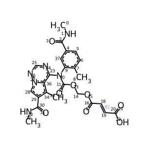 CNC(=O)c1ccc(C)c(N(C(=O)OCOC(=O)/C=C/C(=O)O)c2ncnn3cc(C(=O)NC)c(C)c23)c1